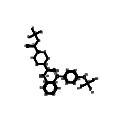 CC(C)(C)CC(=O)N1CCC(C(=O)Nc2ccccc2Oc2ccc(OC(F)(F)F)cc2)CC1